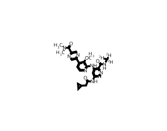 [2H]C([2H])([2H])NC(=O)c1nnc(NC(=O)CC2CC2)cc1Nc1nccc(-c2cnc(C(=O)N(C)C)cn2)c1OC